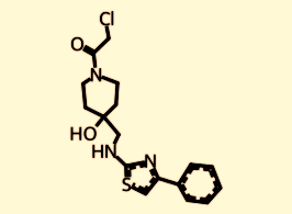 O=C(CCl)N1CCC(O)(CNc2nc(-c3ccccc3)cs2)CC1